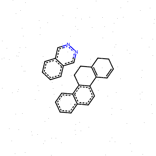 C1=CC2=C(CC1)CCc1c2ccc2ccccc12.c1ccc2cnncc2c1